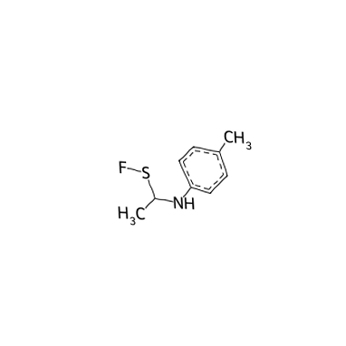 Cc1ccc(NC(C)SF)cc1